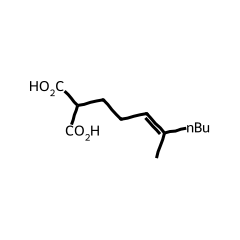 CCCC/C(C)=C/CCC(C(=O)O)C(=O)O